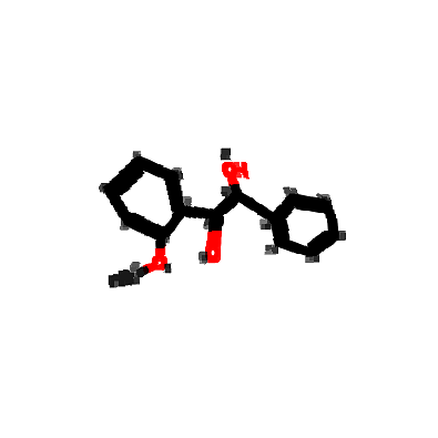 CCCCOc1ccccc1C(=O)C(O)c1ccccc1